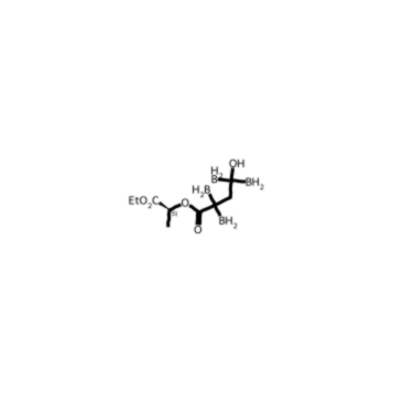 BC(B)(O)CC(B)(B)C(=O)O[C@@H](C)C(=O)OCC